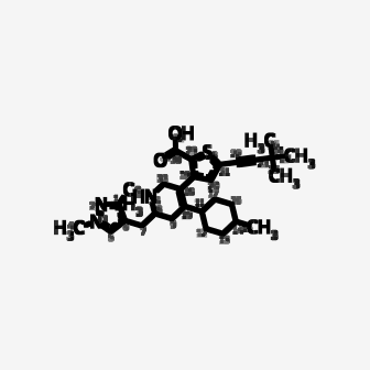 Cc1nn(C)cc1CC1CC(C2CCC(C)CC2)=C(c2cc(C#CC(C)(C)C)sc2C(=O)O)CN1